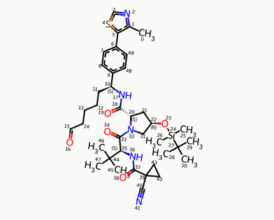 Cc1ncsc1-c1ccc([C@H](CCCCC=O)NC(=O)[C@@H]2C[C@@H](O[Si](C)(C)C(C)(C)C)CN2C(=O)[C@@H](NC(=O)C2(C#N)CC2)C(C)(C)C)cc1